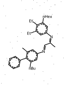 CCCCCCc1cc(N=C(C)C=Nc2cc(C)c(-c3ccccc3)c(CCCC)c2)cc(CC)c1CC